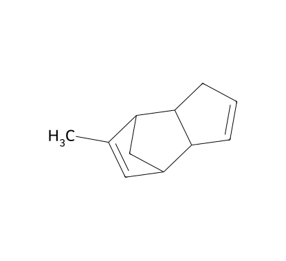 CC1=CC2CC1C1CC=CC21